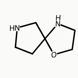 C1CC2(CN1)NCCO2